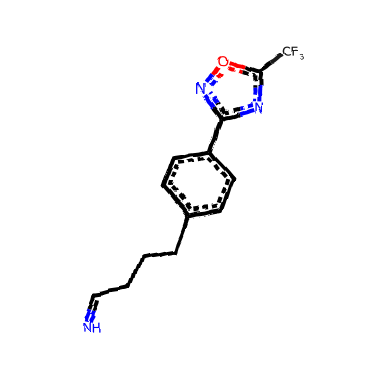 N=CCCCc1ccc(-c2noc(C(F)(F)F)n2)cc1